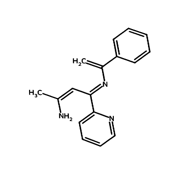 C=C(/N=C(\C=C(\C)N)c1ccccn1)c1ccccc1